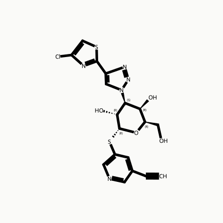 C#Cc1cncc(S[C@H]2O[C@H](CO)[C@H](O)[C@H](n3cc(-c4nc(Cl)cs4)nn3)[C@H]2O)c1